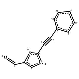 O=Cc1cnc(C#Cc2ccccc2)s1